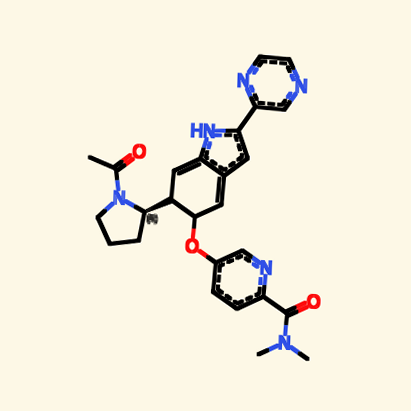 CC(=O)N1CCC[C@@H]1C1C=c2[nH]c(-c3cnccn3)cc2=CC1Oc1ccc(C(=O)N(C)C)nc1